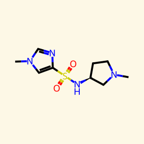 CN1CC[C@H](NS(=O)(=O)c2cn(C)cn2)C1